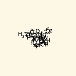 [2H]C(CN[C@@H](Cn1c(=O)c(-c2cccc(OC)c2F)c(C)n(Cc2c(F)cccc2C(F)(F)F)c1=O)c1ccccc1)C([2H])([2H])C(=O)O